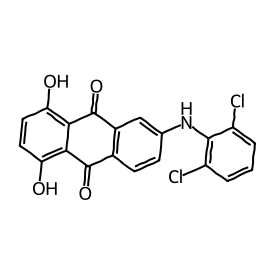 O=C1c2ccc(Nc3c(Cl)cccc3Cl)cc2C(=O)c2c(O)ccc(O)c21